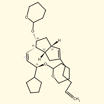 C=CCCCC1=C[C@H]2C[C@@H](OC3CCCCO3)[C@@H](/C=C\[C@@H](OC3CCCCO3)C3CCCC3)[C@H]2C1